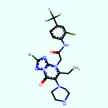 CCc1c(N2CCNCC2)c(=O)n2nc(Br)nc2n1CC(=O)Nc1ccc(C(F)(F)F)cc1F